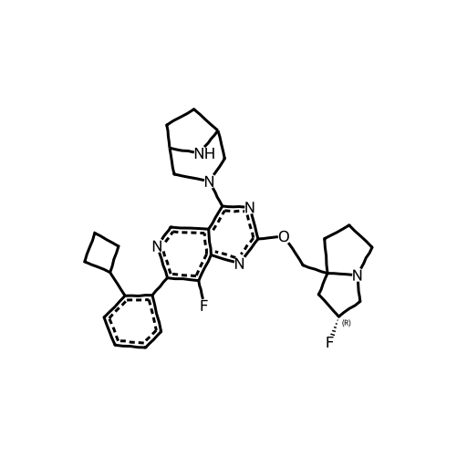 Fc1c(-c2ccccc2C2CCC2)ncc2c(N3CC4CCC(C3)N4)nc(OCC34CCCN3C[C@H](F)C4)nc12